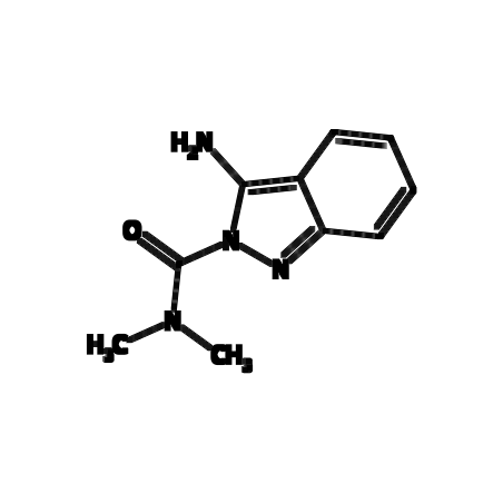 CN(C)C(=O)n1nc2ccccc2c1N